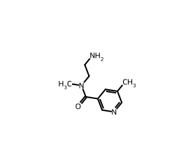 Cc1cncc(C(=O)N(C)CCN)c1